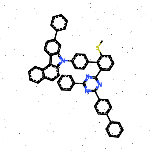 CSc1cccc(-c2nc(-c3ccccc3)nc(-c3ccc(-c4ccccc4)cc3)n2)c1-c1ccc(-n2c3cc(-c4ccccc4)ccc3c3c4ccccc4ccc32)cc1